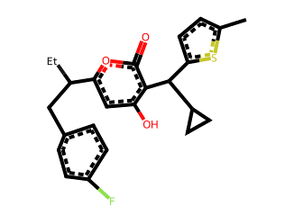 CCC(Cc1ccc(F)cc1)c1cc(O)c(C(c2ccc(C)s2)C2CC2)c(=O)o1